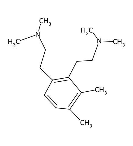 Cc1ccc(CCN(C)C)c(CCN(C)C)c1C